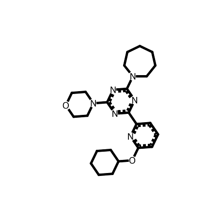 c1cc(OC2CCCCC2)nc(-c2nc(N3CCCCCC3)nc(N3CCOCC3)n2)c1